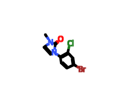 Cn1ccn(-c2ccc(Br)cc2Cl)c1=O